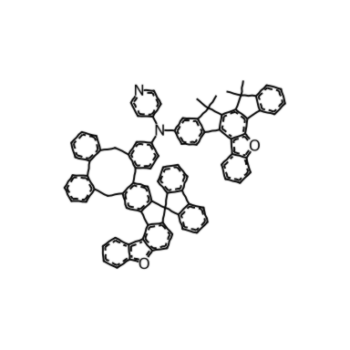 CC1(C)c2ccccc2-c2c1c1c(c3c2oc2ccccc23)-c2ccc(N(c3ccncc3)c3ccc4c(c3)Cc3ccccc3-c3ccccc3Cc3cc5c(cc3-4)C3(c4ccccc4-c4ccccc43)c3ccc4oc6ccccc6c4c3-5)cc2C1(C)C